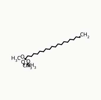 C=CCCCCCCCCCCCCCCCCCC(OC)(OC)O[SiH3]